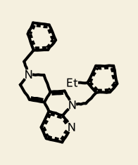 CCc1ccccc1CN1C=C2CN(Cc3ccccc3)CC=C2c2cccnc21